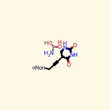 CCCCCCCCCCC#Cc1c[nH]c(=O)[nH]c1=O.NP(O)O